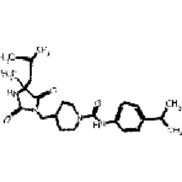 CC(C)CC1(C)NC(=O)N(CC2CCN(C(=O)Nc3ccc(C(C)C)cc3)CC2)C1=O